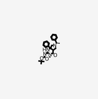 C[C@H](c1ccccc1)N1CC2C(=O)N(C)/C(=N\C(=O)OC(C)(C)C)NC2(c2ccccc2)C1